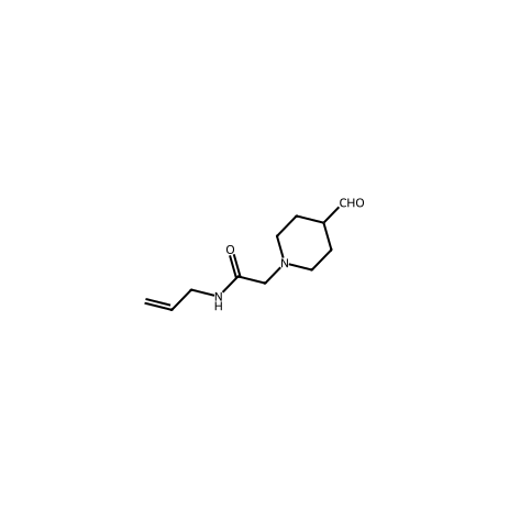 C=CCNC(=O)CN1CCC(C=O)CC1